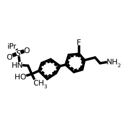 CC(C)S(=O)(=O)NCC(C)(O)c1ccc(-c2ccc(CCN)c(F)c2)cc1